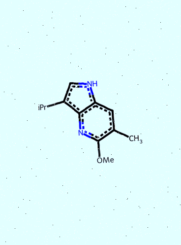 COc1nc2c(C(C)C)c[nH]c2cc1C